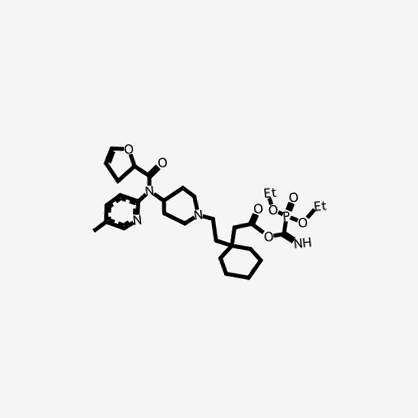 CCOP(=O)(OCC)C(=N)OC(=O)CC1(CCN2CCC(N(C(=O)C3CC=CO3)c3ccc(C)cn3)CC2)CCCCC1